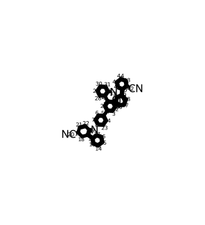 N#Cc1ccc(-c2ccc(-n3c4c(c5ccccc53)CC(C#N)C=C4)cc2)cc1-c1ccccc1-n1c2ccccc2c2c(C#N)cccc21